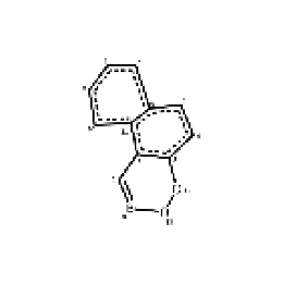 B1=Cc2c(ccc3ccccc23)OO1